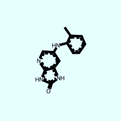 Cc1ccccc1Nc1cnc2[nH]c(=O)[nH]c2c1